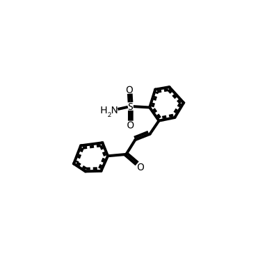 NS(=O)(=O)c1ccccc1C=CC(=O)c1ccccc1